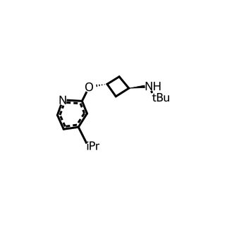 CC(C)c1ccnc(O[C@H]2C[C@H](NC(C)(C)C)C2)c1